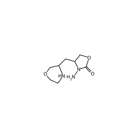 NN1C(=O)OCC1CC1COCCN1